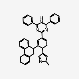 CC1C=C(C2CC=C(C3=NC(c4ccccc4)NC(c4ccccc4)=N3)C=C2C2CC3=C(CCC=C3)c3ccccc32)C=N1